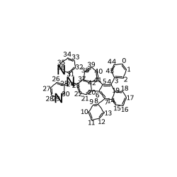 c1ccc(-c2c3c(c(-c4ccccc4)c4ccccc24)-c2ccc(N(c4cccnc4)c4ccccn4)c4cccc-3c24)cc1